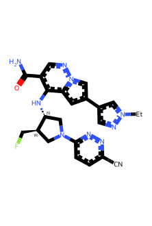 CCn1cc(-c2cc3c(N[C@@H]4CN(c5ccc(C#N)nn5)C[C@H]4CF)c(C(N)=O)cnn3c2)cn1